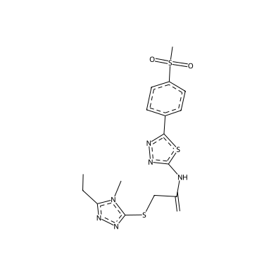 C=C(CSc1nnc(CC)n1C)Nc1nnc(-c2ccc(S(C)(=O)=O)cc2)s1